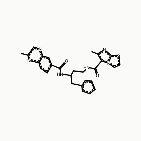 Cc1cnc2cc(C(=O)NC(CCNC(=O)c3c(C)nc4sccn34)Cc3ccccc3)ccc2n1